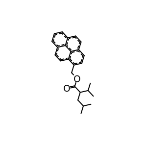 CC(C)CC(C(=O)OCc1ccc2ccc3cccc4ccc1c2c34)C(C)C